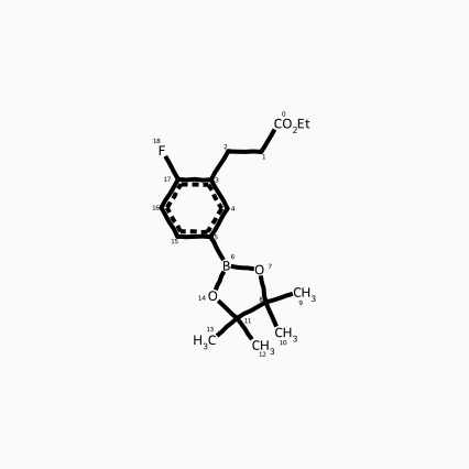 CCOC(=O)CCc1cc(B2OC(C)(C)C(C)(C)O2)ccc1F